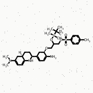 Cc1ccc(S(=O)(=O)OCC(CO[C@@H]2CC(C3CC[C@@H]4CC(N(C)C)=CC=C4N3)=CC=C2N)O[Si](C)(C)C(C)(C)C)cc1